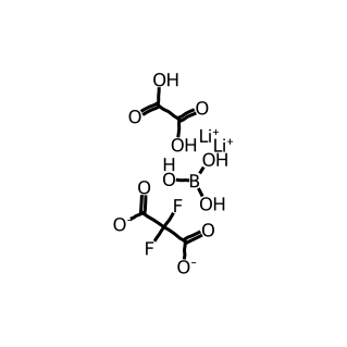 O=C(O)C(=O)O.O=C([O-])C(F)(F)C(=O)[O-].OB(O)O.[Li+].[Li+]